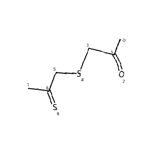 CC(=O)CSCC(C)=S